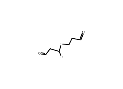 O=[C]CC(Cl)SCCC=O